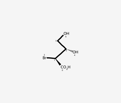 O=C(O)[C@@H](Br)[C@@H](O)CO